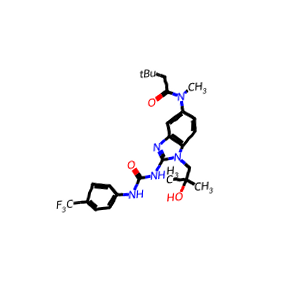 CN(C(=O)CC(C)(C)C)c1ccc2c(c1)nc(NC(=O)Nc1ccc(C(F)(F)F)cc1)n2CC(C)(C)O